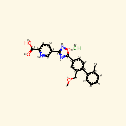 COCc1cc(-c2nc(-c3ccc(C(=O)O)nc3)no2)ccc1-c1ccccc1C.Cl